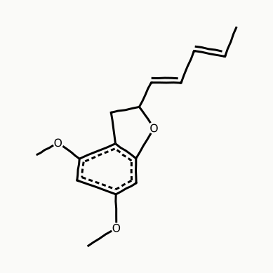 CC=CC=CC1Cc2c(OC)cc(OC)cc2O1